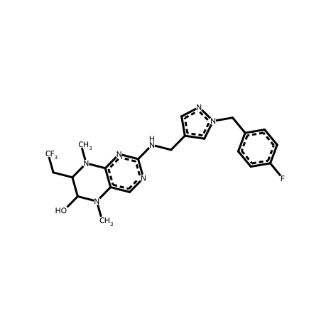 CN1c2cnc(NCc3cnn(Cc4ccc(F)cc4)c3)nc2N(C)C(CC(F)(F)F)C1O